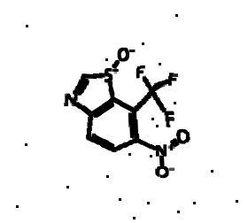 O=[N+]([O-])c1ccc2nc[s+]([O-])c2c1C(F)(F)F